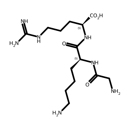 N=C(N)NCCC[C@H](NC(=O)[C@H](CCCCN)NC(=O)CN)C(=O)O